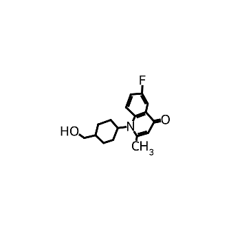 Cc1cc(=O)c2cc(F)ccc2n1C1CCC(CO)CC1